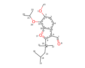 COc1ccc2c(C=O)c([Si](C)(C)CC(C)C)oc2c1OC(C)C